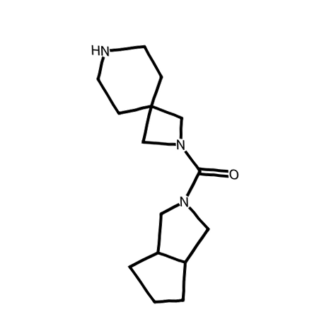 O=C(N1CC2CCCC2C1)N1CC2(CCNCC2)C1